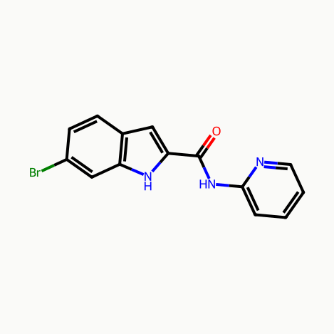 O=C(Nc1ccccn1)c1cc2ccc(Br)cc2[nH]1